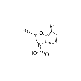 C#CC1CN(C(=O)O)c2cccc(Br)c2O1